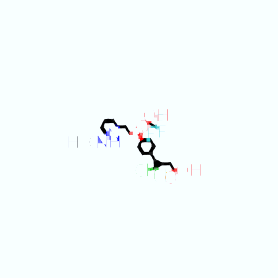 CNc1cccc(CCOc2ccc(C3C(CC(=O)O)C3(Cl)Cl)cc2)n1.O=C(O)C(F)(F)F